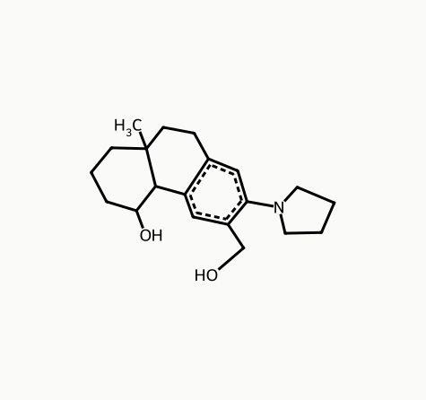 CC12CCCC(O)C1c1cc(CO)c(N3CCCC3)cc1CC2